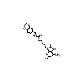 CC1Nc2c(N)nc(Cl)nc2N1CCCCOC(=O)NCc1ccc2c(c1)OCCO2